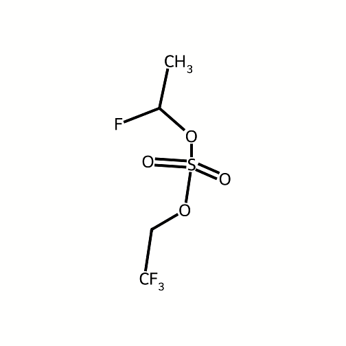 CC(F)OS(=O)(=O)OCC(F)(F)F